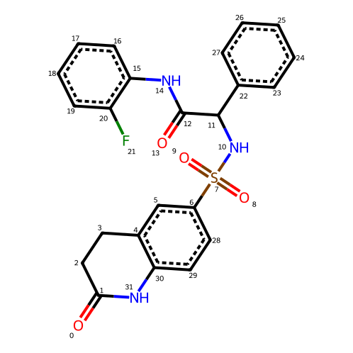 O=C1CCc2cc(S(=O)(=O)NC(C(=O)Nc3ccccc3F)c3ccccc3)ccc2N1